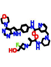 C=C(CN1CC(F)(CO)C1)C(=O)N[C@@H]1CCCN(Cc2ccnc(C(=O)Nc3ccc(-c4cc5c(N6CCOCC6)ncnc5[nH]4)cc3)c2)C1